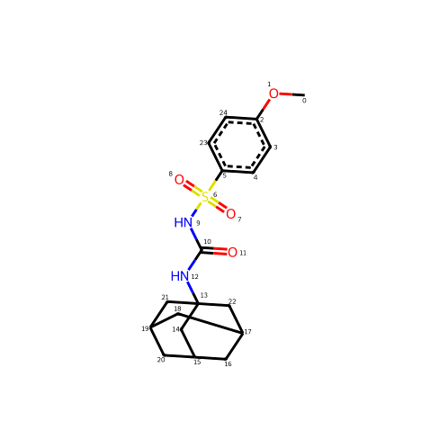 COc1ccc(S(=O)(=O)NC(=O)NC23CC4CC(CC(C4)C2)C3)cc1